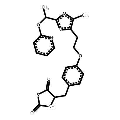 Cc1oc(C(C)Oc2ccccn2)nc1CCOc1ccc(CC2NC(=O)SC2=O)cc1